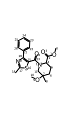 COC(=O)C1CCC(C)(OC)CN1C(=O)c1sc(C)nc1-c1ccccc1